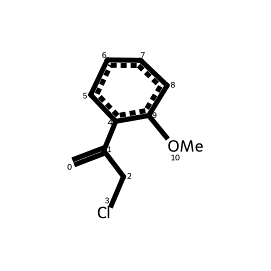 C=C(CCl)c1ccccc1OC